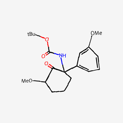 COc1cccc(C2(NC(=O)OC(C)(C)C)CCCC(OC)C2=O)c1